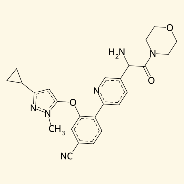 Cn1nc(C2CC2)cc1Oc1cc(C#N)ccc1-c1ccc(C(N)C(=O)N2CCOCC2)cn1